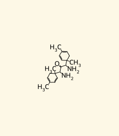 CC1=CCC(C)(C(N)C(=O)C(N)C2(C)C=CC(C)=CC2)C=C1